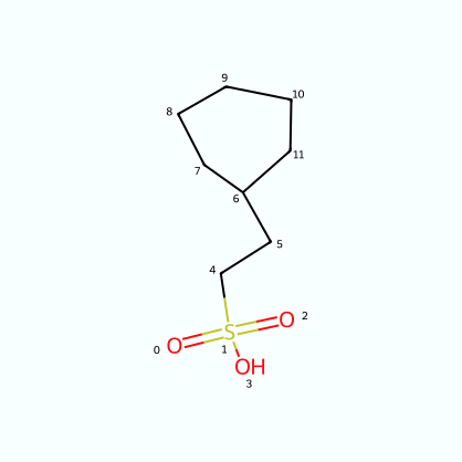 O=S(=O)(O)CCC1CCCCC1